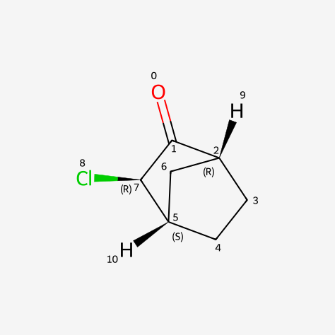 O=C1[C@@H]2CC[C@@H](C2)[C@H]1Cl